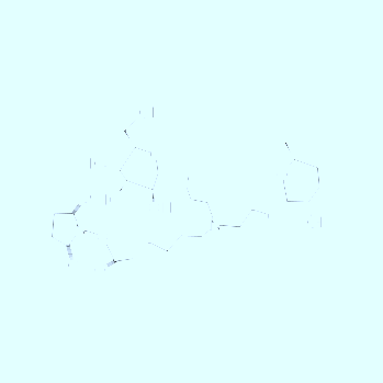 C[C@H]1CC[C@H](O)[C@H](OCCN(CCCCCC(=O)ON2C(=O)CCC2=O)CCO[C@H]2O[C@H](CO)[C@@H](O)[C@H](O)[C@@H]2O)O1